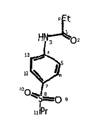 CCC(=O)Nc1ccc(S(=O)(=O)C(C)C)cc1